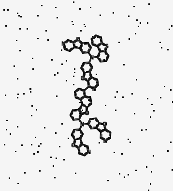 c1ccc2c(c1)sc1cccc(N(c3ccc4oc5cnccc5c4c3)c3ccc4oc5c(-c6cccc7c6ccc6oc8c(N(c9ccc%10oc%11ccncc%11c%10c9)c9ccc%10oc%11ccncc%11c%10c9)cccc8c67)nccc5c4c3)c12